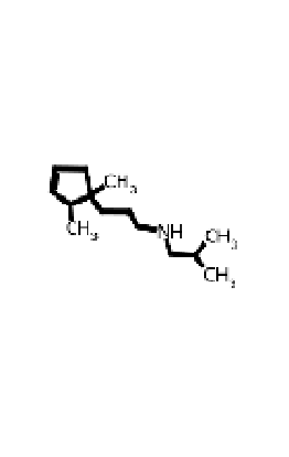 CC(C)CNCCCC1(C)CC=CC1C